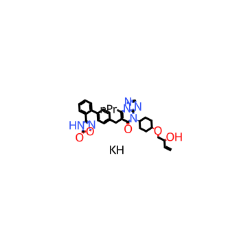 C=CC(O)CO[C@H]1CC[C@H](n2c(=O)c(Cc3ccc(-c4ccccc4-c4noc(=O)[nH]4)cc3)c(CCC)n3ncnc32)CC1.[KH]